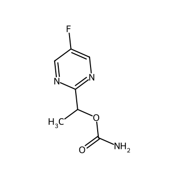 CC(OC(N)=O)c1ncc(F)cn1